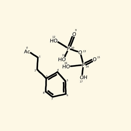 CC(=O)CCc1ccccc1.O=P(O)(O)OP(=O)(O)O